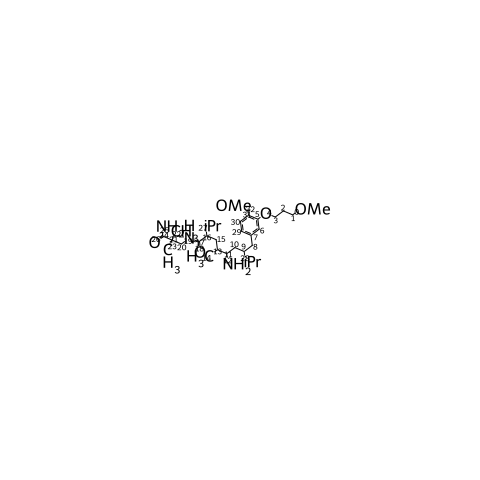 COCCCOc1cc(CC(CC(N)C(C)CC(C(=O)NCC(C)(C)C(N)=O)C(C)C)C(C)C)ccc1OC